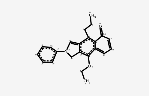 CCCc1c2c(c(OCC)c3c1=CN(c1cc[c]cc1)C3)=CC=CC2=O